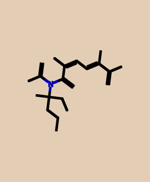 C=C(C)/C(C)=C/C=C(/C)C(=C)N(C(=C)C)C(C)(CC)CCC